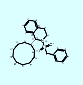 O=S(=O)(Cc1ccccc1)N1CCc2ccccc2[C@H]1C1CCCCCCCCC1